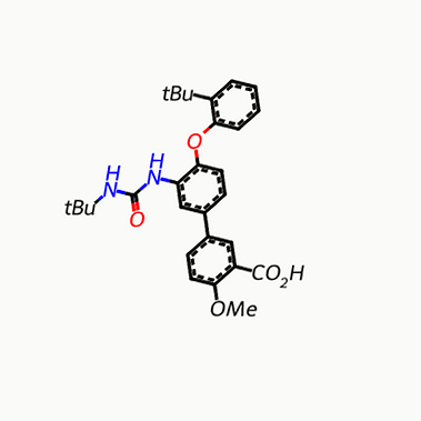 COc1ccc(-c2ccc(Oc3ccccc3C(C)(C)C)c(NC(=O)NC(C)(C)C)c2)cc1C(=O)O